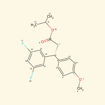 COc1ccc([C@@H](CC(=O)OC(C)C)c2cc(F)cc(F)c2)cc1